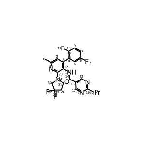 Cc1cc(-c2cc(F)ccc2F)c(NC(=O)c2cnc(C(C)C)nc2)c(N2CCC(F)(F)C2)n1